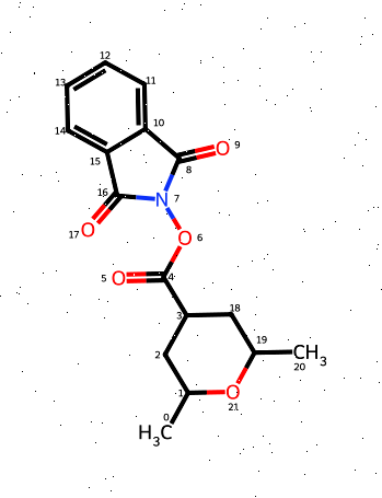 CC1CC(C(=O)ON2C(=O)c3ccccc3C2=O)CC(C)O1